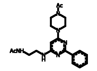 CC(=O)NCCNc1cc(N2CCN(C(C)=O)CC2)nc(-c2ccccc2)n1